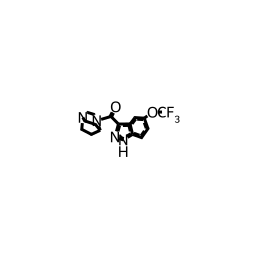 O=C(c1n[nH]c2ccc(OC(F)(F)F)cc12)N1CCN2CCC1CC2